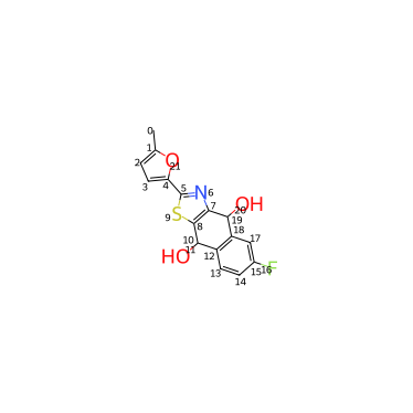 Cc1ccc(-c2nc3c(s2)C(O)c2ccc(F)cc2C3O)o1